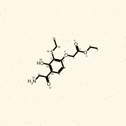 CCOC(=O)COc1ccc(C(=O)CN)c(O)c1SCC